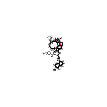 CCOC(=O)c1c(CCCOc2cccc3cc(F)ccc23)c2ccc(Cl)c3c2n1CCCCN(CC(F)(F)F)Cc1nn(C)c(C)c1-3